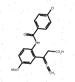 C=C=C(CC(=O)O)c1cc(OC)ccc1NC(=O)c1ccc(Cl)cc1